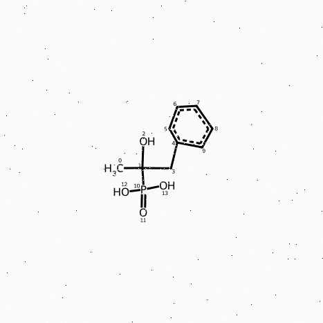 CC(O)(Cc1ccccc1)P(=O)(O)O